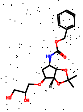 CC1(C)OC2[C@H](NC(=O)OCc3ccccc3)C[C@H](OCC(O)CO)[C@H]2O1